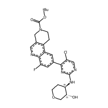 CC(C)(C)OC(=O)N1CCc2c(cnc3c(F)cc(-c4nc(N[C@@H]5CCOC[C@H]5O)ncc4Cl)cc23)C1